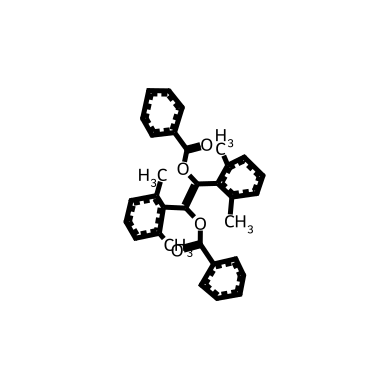 Cc1cccc(C)c1/C(OC(=O)c1ccccc1)=C(\OC(=O)c1ccccc1)c1c(C)cccc1C